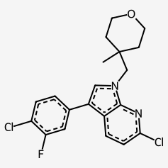 CC1(Cn2cc(-c3ccc(Cl)c(F)c3)c3ccc(Cl)nc32)CCOCC1